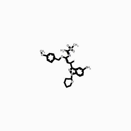 Bc1ccc2c(c1)c(C(I)/C=C(\N=C(/N)S(C)(=O)=O)OCc1ccc(OC)cc1)nn2C1CCCCO1